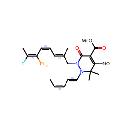 C/C=C\C=C\N1N(C/C(C)=C/C=C\C(P)=C(/C)F)C(=O)C(C(=O)OC)=C(N=O)C1(C)C